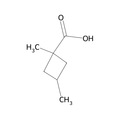 CC1CC(C)(C(=O)O)C1